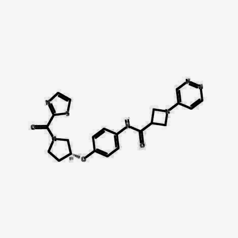 O=C(Nc1ccc(O[C@@H]2CCN(C(=O)c3nccs3)C2)cc1)C1CN(c2ccnnc2)C1